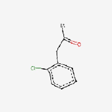 CCC(=O)Cc1ccccc1Cl